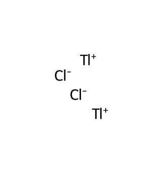 [Cl-].[Cl-].[Tl+].[Tl+]